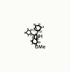 COc1ccc2c(C3CCCC3)c(-c3ccccn3)[nH]c2c1